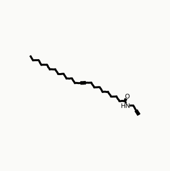 C#CCNC(=O)CCCCCCCCC#CCCCCCCCCCCCC